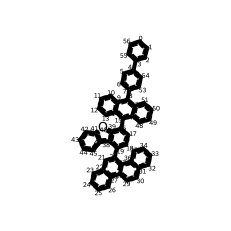 c1ccc(-c2ccc(-c3c4ccccc4c(-c4ccc(-c5cc6ccccc6c6ccc7ccccc7c56)c5c4oc4ccccc45)c4ccccc34)cc2)cc1